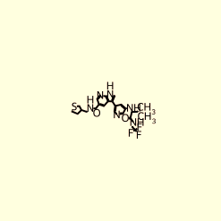 CC(C)[C@@H](Nc1cncc(-c2c[nH]c3ncc(C(=O)NCC4CCSC4)cc23)c1)C(=O)NCC(F)(F)F